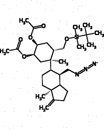 C=C1CCC2[C@H](CN=[N+]=[N-])C([C@@]3(C)C[C@@H](OC(C)=O)[C@@H](OC(C)=O)C[C@@H]3CO[Si](C)(C)C(C)(C)C)CC[C@]12C